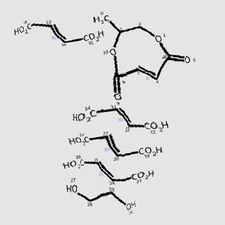 CC1COC(=O)/C=C/C(=O)O1.O=C(O)/C=C/C(=O)O.O=C(O)/C=C/C(=O)O.O=C(O)/C=C/C(=O)O.O=C(O)/C=C/C(=O)O.OCCO